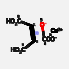 O=C(O)/C=C\C(=O)O.O=C([O-])[O-].[Ca+2]